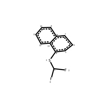 FC(F)Sc1cccc2ccccc12